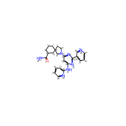 CNC(=O)C1CCCC2(CCN(c3cc(Nc4ccccn4)nc(-c4cccnc4)n3)C2)C1